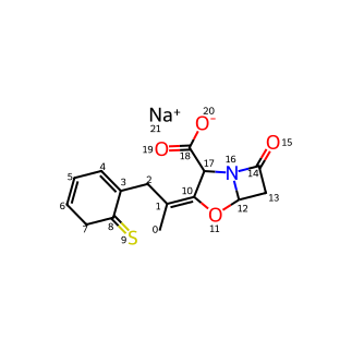 CC(CC1=CC=CCC1=S)=C1OC2CC(=O)N2C1C(=O)[O-].[Na+]